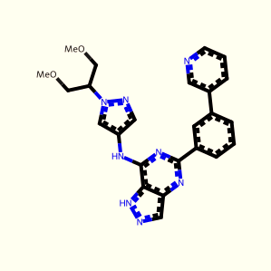 COCC(COC)n1cc(Nc2nc(-c3cccc(-c4cccnc4)c3)nc3cn[nH]c23)cn1